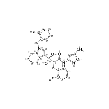 Cc1cc(NC(=O)C(Cc2ccccc2F)S(=O)(=O)c2cn(Cc3ccccc3F)c3ccccc23)no1